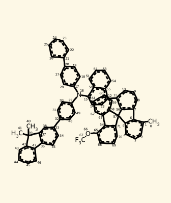 Cc1cccc2c1-c1cccc(-c3ccc(N(c4ccc(-c5ccccc5)cc4)c4ccc(-c5ccc6c(c5)C(C)(C)c5ccccc5-6)cc4)c4ccccc34)c1C21c2ccccc2-c2c(OC(F)(F)F)cccc21